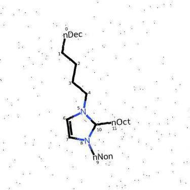 CCCCCCCCCCCCCCN1C=CN(CCCCCCCCC)C1CCCCCCCC